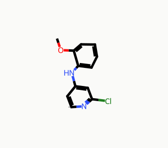 COc1ccccc1Nc1c[c]nc(Cl)c1